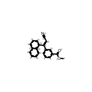 COC(=O)c1cccc(/C(=C/C#N)c2cccc3ccccc23)c1